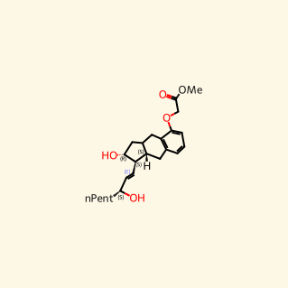 CCCCC[C@H](O)/C=C/[C@H]1[C@H](O)CC2Cc3c(cccc3OCC(=O)OC)C[C@@H]21